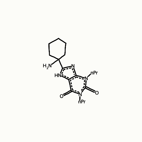 CCCn1c(=O)c2[nH]c(C3(N)CCCCC3)nc2n(CCC)c1=O